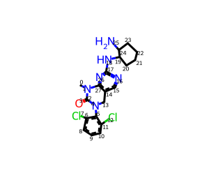 CN1C(=O)N(c2c(Cl)cccc2Cl)Cc2cnc(NC3CCCCC3N)nc21